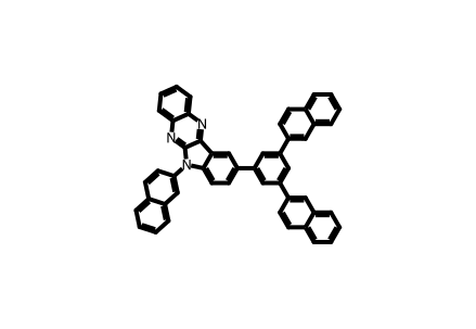 c1ccc2cc(-c3cc(-c4ccc5ccccc5c4)cc(-c4ccc5c(c4)c4nc6ccccc6nc4n5-c4ccc5ccccc5c4)c3)ccc2c1